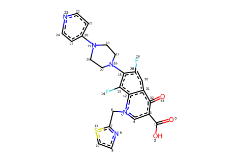 O=C(O)c1cn(Cc2nccs2)c2c(F)c(N3CCN(c4ccncc4)CC3)c(F)cc2c1=O